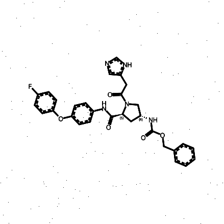 O=C(N[C@@H]1C[C@@H](C(=O)Nc2ccc(Oc3ccc(F)cc3)cc2)N(C(=O)Cc2cnc[nH]2)C1)OCc1ccccc1